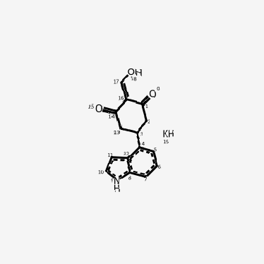 O=C1CC(c2cccc3[nH]ccc23)CC(=O)C1=CO.[KH]